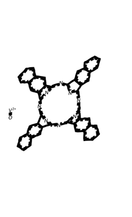 [O]=[V+2].c1ccc2cc3c(cc2c1)-c1nc-3nc2[n-]c(nc3nc(nc4[n-]c(n1)c1cc5ccccc5cc41)-c1cc4ccccc4cc1-3)c1cc3ccccc3cc21